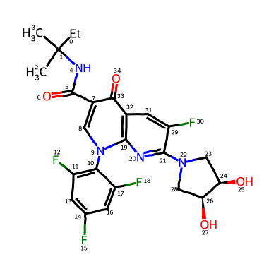 CCC(C)(C)NC(=O)c1cn(-c2c(F)cc(F)cc2F)c2nc(N3C[C@@H](O)[C@@H](O)C3)c(F)cc2c1=O